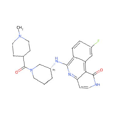 CN1CCC(C(=O)N2CCC[C@@H](Nc3nc4cc[nH]c(=O)c4c4cc(F)ccc34)C2)CC1